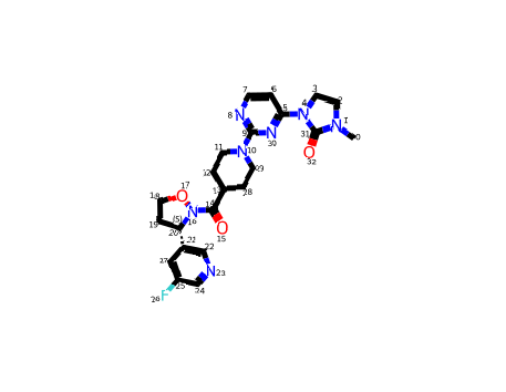 CN1CCN(c2ccnc(N3CCC(C(=O)N4OCC[C@H]4c4cncc(F)c4)CC3)n2)C1=O